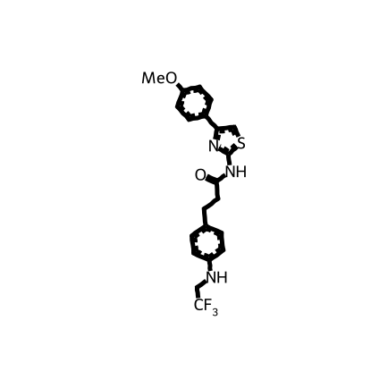 COc1ccc(-c2csc(NC(=O)CCc3ccc(NCC(F)(F)F)cc3)n2)cc1